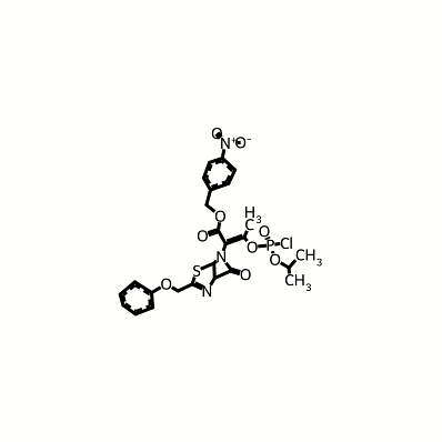 CC(OP(=O)(Cl)OC(C)C)=C(C(=O)OCc1ccc([N+](=O)[O-])cc1)N1C(=O)C2N=C(COc3ccccc3)SC21